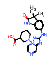 CC1(C)C(=O)Nc2cc(NC3=N[N+]4(N5CCCC(C(=O)O)C5)C=CN=CC4=N3)ccc21